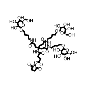 O=C(CCC(CCC(=O)NCCCCO[C@H]1O[C@H](CO)[C@@H](O)[C@H](O)[C@@H]1O)(CCC(=O)NCCCCO[C@H]1O[C@H](CO)[C@@H](O)[C@H](O)[C@@H]1O)NC(=O)CCC(=O)ON1C(=O)CCC1=O)NCCCCO[C@H]1O[C@H](CO)[C@@H](O)[C@H](O)[C@@H]1O